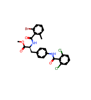 COC(=O)[C@H](Cc1ccc(NC(=O)c2c(Cl)cccc2Cl)cc1)NC(=O)c1c(C)cccc1Br